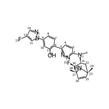 CN(c1ccc(-c2ccc(-n3cc(F)cn3)cc2O)nn1)[C@H]1C[C@]2(C)C=C[C@@](C)(N2)[C@H]1F